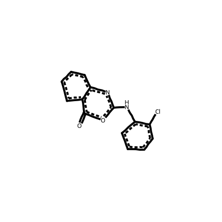 O=c1oc(Nc2ccccc2Cl)nc2ccccc12